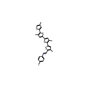 Cc1csc(-c2sc(-c3cc(C)c(-c4cc(C)c(/C=C/c5ccc(I)cc5)s4)s3)cc2C)c1